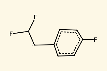 Fc1ccc([CH]C(F)F)cc1